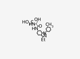 CCc1nn(-c2cccc(C)c2)c2cc(NC(=O)C(CO)NC(=O)O)ccc12